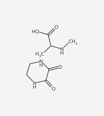 CNC(C)C(=O)O.O=C1NCCNC1=O